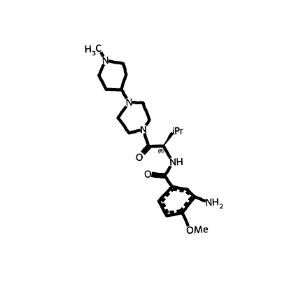 COc1ccc(C(=O)N[C@@H](C(=O)N2CCN(C3CCN(C)CC3)CC2)C(C)C)cc1N